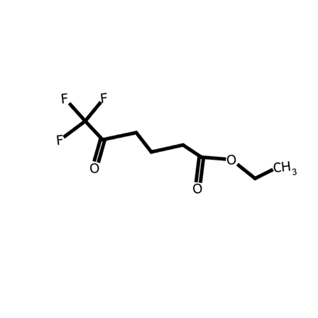 CCOC(=O)CCCC(=O)C(F)(F)F